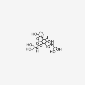 O=C(NC(CO)CO)Oc1c(I)c(OC(=O)NC(CO)CO)c(I)c(N2CCCC(O)C2=O)c1I